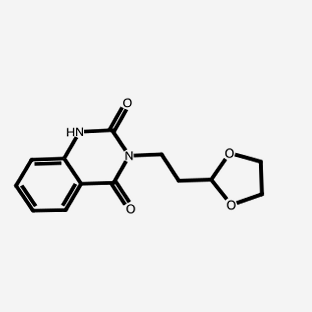 O=c1[nH]c2ccccc2c(=O)n1CCC1OCCO1